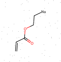 C=CC(=O)OC[CH2][Na]